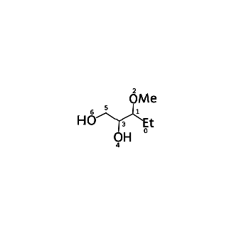 CCC(OC)C(O)CO